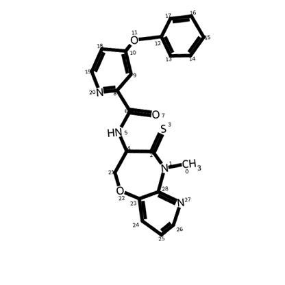 CN1C(=S)C(NC(=O)c2cc(Oc3ccccc3)ccn2)COc2cccnc21